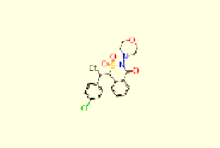 CCC(c1ccc(Cl)cc1)C1c2ccccc2C(=O)N(N2CCOCC2)S1(=O)=O